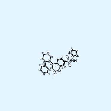 O=S(=O)(Nc1nccs1)c1ccc2c(c1)OC(F)CC2N1CCCCC1c1ccccc1